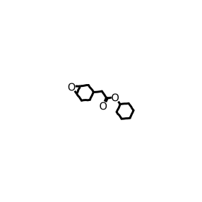 O=C(CC1CCC2OC2C1)OC1CCCCC1